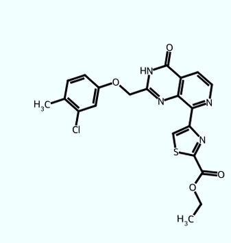 CCOC(=O)c1nc(-c2nccc3c(=O)[nH]c(COc4ccc(C)c(Cl)c4)nc23)cs1